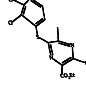 CCOC(=O)c1nc(Sc2cccc(Cl)c2Cl)c(C)nc1Cl